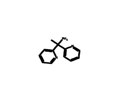 CC(P)(c1ccccn1)c1ccccn1